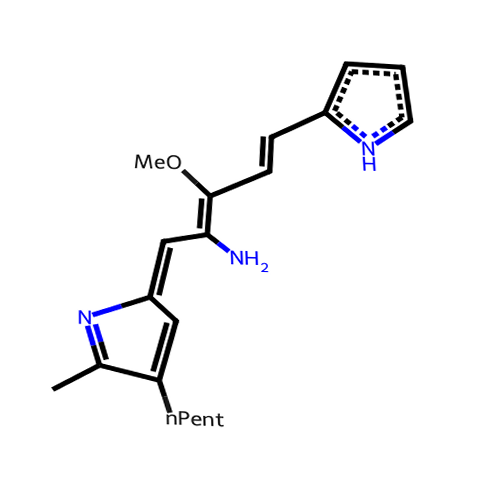 CCCCCC1=C\C(=C/C(N)=C(/C=C/c2ccc[nH]2)OC)N=C1C